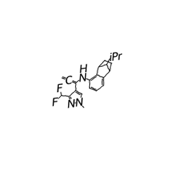 C=C=C(Nc1cccc2c1C1CCC2C1C(C)C)c1cn(C)nc1C(F)F